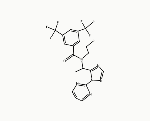 CC(c1ncnn1-c1ncccn1)N(CCF)C(=O)c1cc(C(F)(F)F)cc(C(F)(F)F)c1